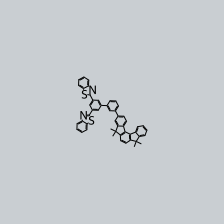 CC1(C)c2ccccc2-c2c1ccc1c2-c2ccc(-c3cccc(-c4cc(-c5nc6ccccc6s5)cc(-c5nc6ccccc6s5)c4)c3)cc2C1(C)C